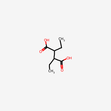 CCC(C(=O)O)C(CC)C(=O)O